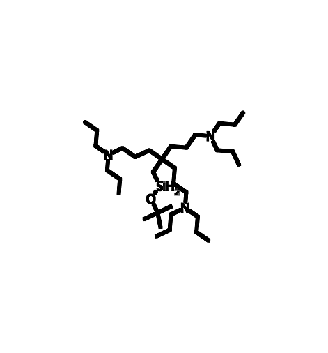 CCCN(CCC)CCCC(CCCN(CCC)CCC)(CCCN(CCC)CCC)C[SiH2]OC(C)(C)C